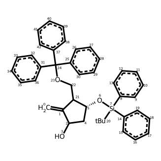 C=C1C(O)C[C@@H](O[Si](c2ccccc2)(c2ccccc2)C(C)(C)C)C1COC(c1ccccc1)(c1ccccc1)c1ccccc1